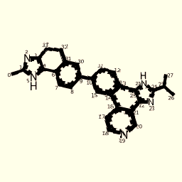 Cc1nc2c([nH]1)-c1ccc(-c3ccc4c(c3)c3ccncc3c3nc(C(C)C)[nH]c43)cc1CC2